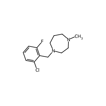 CN1CCCN(Cc2c(F)cccc2Cl)CC1